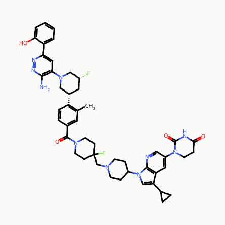 Cc1cc(C(=O)N2CCC(F)(CN3CCC(n4cc(C5CC5)c5cc(N6CCC(=O)NC6=O)cnc54)CC3)CC2)ccc1[C@H]1C[C@@H](F)CN(c2cc(-c3ccccc3O)nnc2N)C1